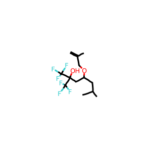 C=C(C)COC(CC(C)C)CC(O)(C(F)(F)F)C(F)(F)F